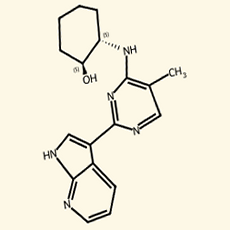 Cc1cnc(-c2c[nH]c3ncccc23)nc1N[C@H]1CCCC[C@@H]1O